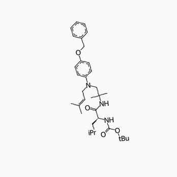 CC(C)=CCN(CC(C)(C)NC(=O)[C@H](CC(C)C)NC(=O)OC(C)(C)C)c1ccc(OCc2ccccc2)cc1